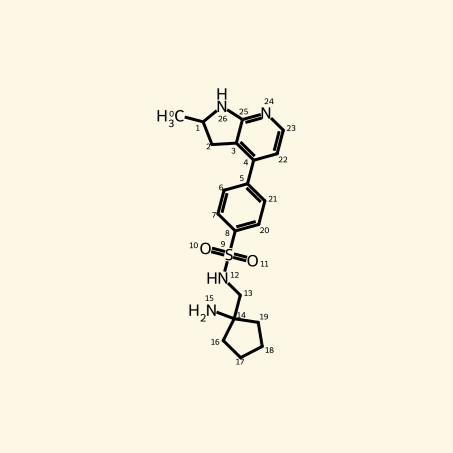 CC1Cc2c(-c3ccc(S(=O)(=O)NCC4(N)CCCC4)cc3)ccnc2N1